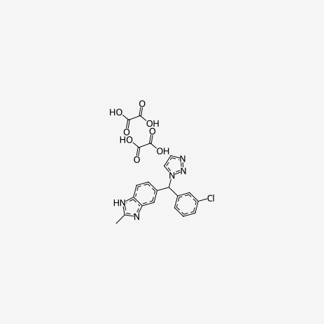 Cc1nc2cc(C(c3cccc(Cl)c3)n3ccnn3)ccc2[nH]1.O=C(O)C(=O)O.O=C(O)C(=O)O